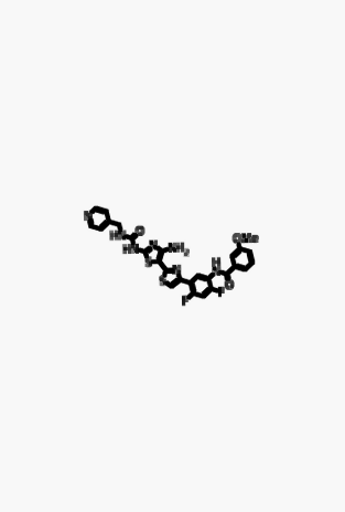 COc1cccc(C(=O)Nc2cc(-c3csc(-c4sc(NC(=O)NCc5ccncc5)nc4N)n3)c(F)cc2F)c1